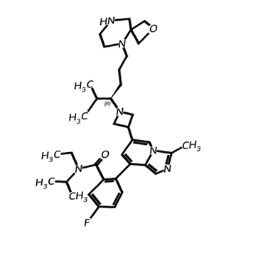 CCN(C(=O)c1cc(F)ccc1-c1cc(C2CN([C@H](CCCN3CCNCC34COC4)C(C)C)C2)cn2c(C)ncc12)C(C)C